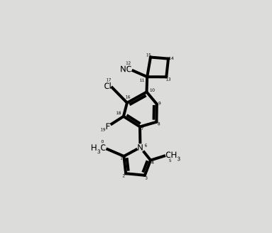 Cc1ccc(C)n1-c1ccc(C2(C#N)CCC2)c(Cl)c1F